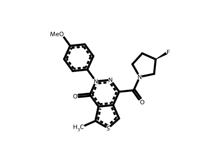 COc1ccc(-n2nc(C(=O)N3CC[C@@H](F)C3)c3csc(C)c3c2=O)cc1